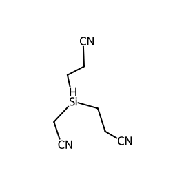 N#CCC[SiH](CC#N)CCC#N